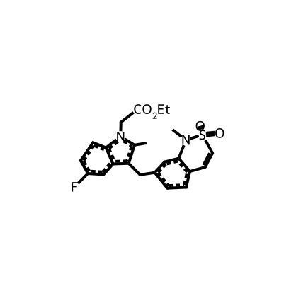 CCOC(=O)Cn1c(C)c(Cc2ccc3c(c2)N(C)S(=O)(=O)C=C3)c2cc(F)ccc21